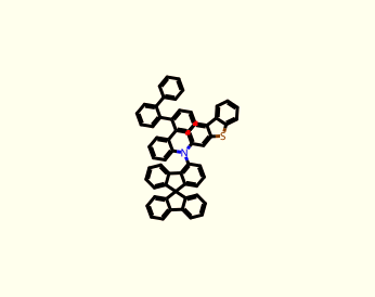 c1ccc(-c2ccccc2-c2ccccc2-c2ccccc2N(c2ccc3c(c2)sc2ccccc23)c2cccc3c2-c2ccccc2C32c3ccccc3-c3ccccc32)cc1